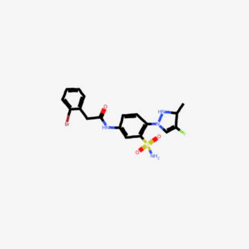 CC1NN(c2ccc(NC(=O)Cc3ccccc3Br)cc2S(N)(=O)=O)C=C1F